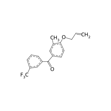 C=CCOc1ccc(C(=O)c2cccc(C(F)(F)F)c2)cc1C